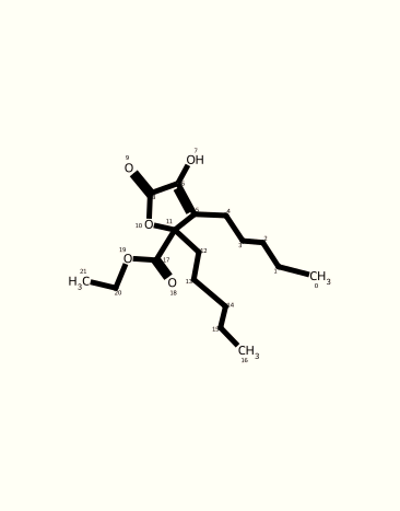 CCCCCC1=C(O)C(=O)OC1(CCCCC)C(=O)OCC